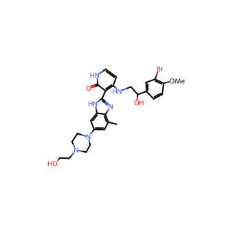 COc1ccc(C(O)CNc2cc[nH]c(=O)c2-c2nc3c(C)cc(N4CCN(CCO)CC4)cc3[nH]2)cc1Br